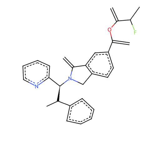 C=C(OC(=C)C(C)F)c1ccc2c(c1)C(=C)N([C@H](c1ccccn1)C(C)c1ccccc1)C2